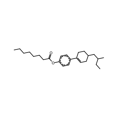 CCCCCCCC(=O)Oc1ccc(C2=CCC(CC(C)CC)CC2)cc1